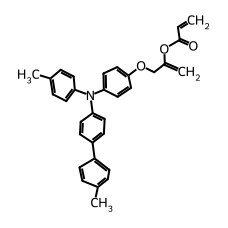 C=CC(=O)OC(=C)COc1ccc(N(c2ccc(C)cc2)c2ccc(-c3ccc(C)cc3)cc2)cc1